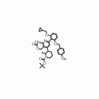 COc1ccc(COc2cccc(OCC3CC3)c2-c2cc(C3CCCN(C(=O)OC(C)(C)C)C3I)c3c(n2)NC(=O)OC3)cc1